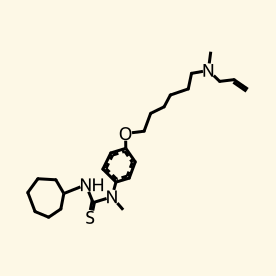 C=CCN(C)CCCCCCOc1ccc(N(C)C(=S)NC2CCCCCC2)cc1